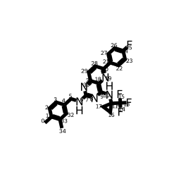 Cc1ccc(CNc2nc(NC3(C(F)(F)F)CC3)c3nc(-c4ccc(F)cc4)ccc3n2)cc1C